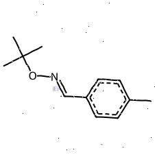 Cc1ccc(/[C]=N/OC(C)(C)C)cc1